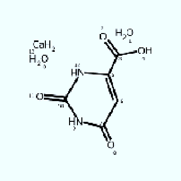 O.O.O=C(O)c1cc(=O)[nH]c(=O)[nH]1.[CaH2]